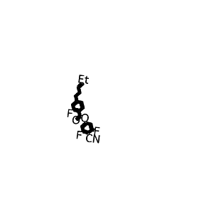 CCC=CCCc1ccc(C(=O)Oc2cc(F)c(C#N)c(F)c2)c(F)c1